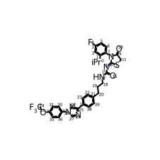 CC(C)c1cc(F)ccc1N1C(=O)CS/C1=N\C(=O)NCCCc1ccc(-c2ncn(-c3ccc(OC(F)(F)F)cc3)n2)cc1